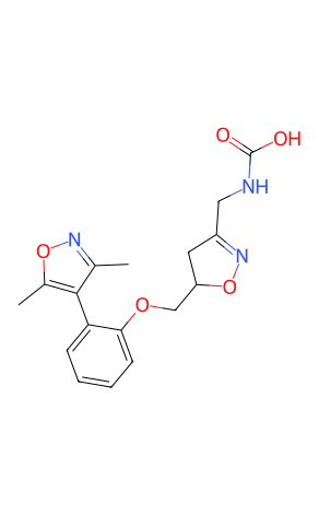 Cc1noc(C)c1-c1ccccc1OCC1CC(CNC(=O)O)=NO1